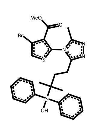 COC(=O)c1c(Br)csc1-n1c(C)nnc1CCC(C)(C)[Si](O)(c1ccccc1)c1ccccc1